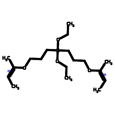 C/C=C(/C)OCCC[Si](CCCO/C(C)=C\C)(OCC)OCC